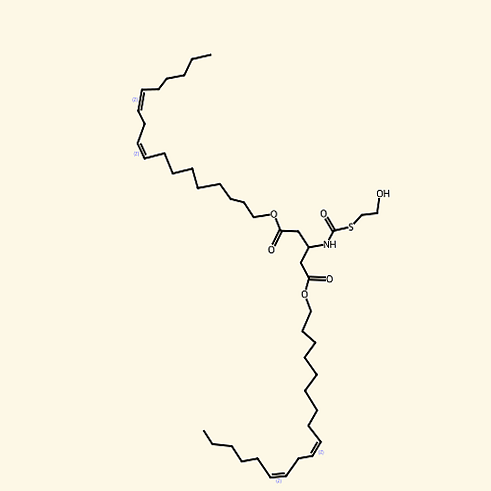 CCCCC/C=C\C/C=C\CCCCCCCCOC(=O)CC(CC(=O)OCCCCCCCC/C=C\C/C=C\CCCCC)NC(=O)SCCO